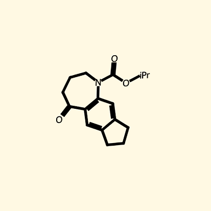 CC(C)OC(=O)N1CCCC(=O)c2cc3c(cc21)CCC3